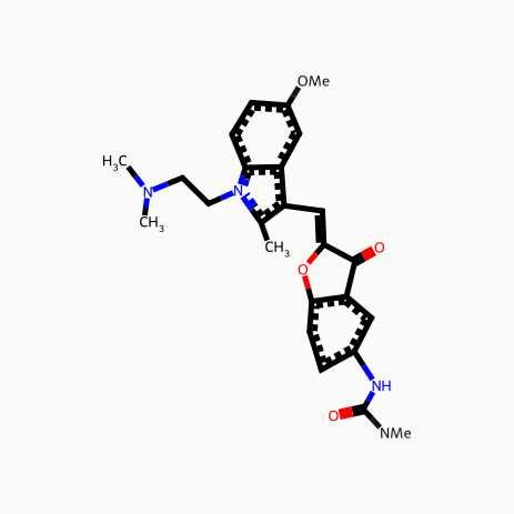 CNC(=O)Nc1ccc2c(c1)C(=O)C(=Cc1c(C)n(CCN(C)C)c3ccc(OC)cc13)O2